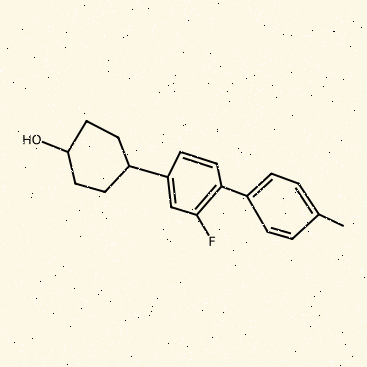 Cc1ccc(-c2ccc(C3CCC(O)CC3)cc2F)cc1